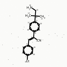 CCc1ccc(/C=C(\C#N)c2ccc(C(C)(C)CN)cc2)cc1